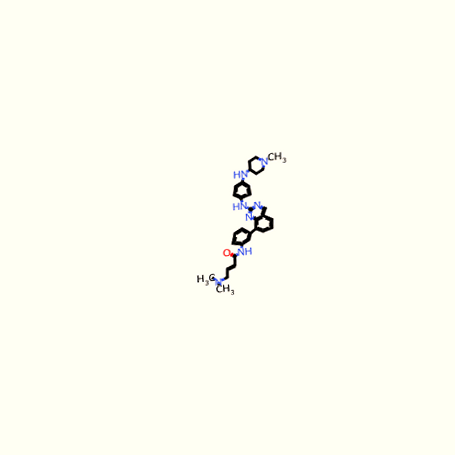 CN(C)CC=CC(=O)Nc1cccc(-c2cccc3cnc(Nc4ccc(NC5CCN(C)CC5)cc4)nc23)c1